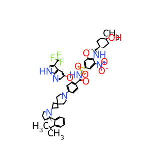 CC(C)c1ccccc1[C@H]1CCCN1C1CC2(CCN(c3ccc(C(=O)NS(=O)(=O)c4cc5c(c([N+](=O)[O-])c4)N[C@@H]([C@H]4CC[C@](C)(O)CC4)CO5)c(Oc4cnc5[nH]cc(C(F)(F)F)c5c4)c3)CC2)C1